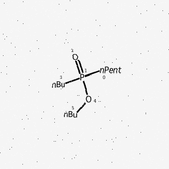 CCCCCP(=O)(CCCC)OCCCC